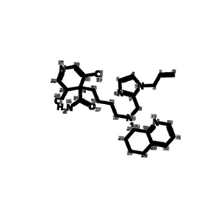 C=CCn1ccnc1CN(CCCCC1(C(N)=O)C(Cl)=CN=CC1Cl)[C@H]1CCCc2cccnc21